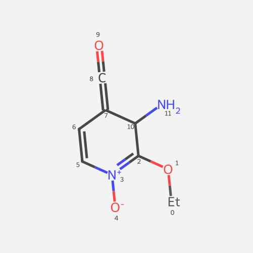 CCOC1=[N+]([O-])C=CC(=C=O)C1N